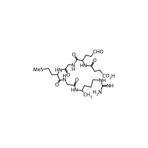 CSCCC(NC(=O)CNC(=O)C(CCC=O)NC(=O)CCC(=O)O)C(=O)NCC(=O)NC(C)CCCNC(=N)N